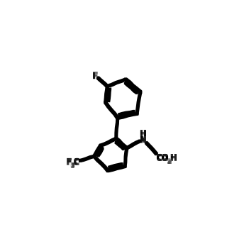 O=C(O)Nc1ccc(C(F)(F)F)cc1-c1cccc(F)c1